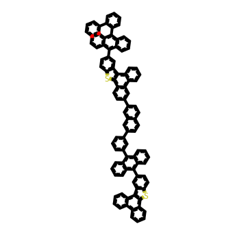 c1ccc(-c2ccccc2-c2c3ccccc3c(-c3ccc4sc5c6ccc(-c7ccc8ccc(-c9cccc(-c%10c%11ccccc%11c(-c%11ccc%12sc%13c%14ccccc%14c%14ccccc%14c%13c%12c%11)c%11ccccc%10%11)c9)cc8c7)cc6c6ccccc6c5c4c3)c3ccccc23)cc1